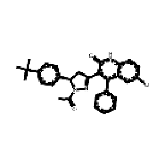 CC(=O)N1N=C(c2c(-c3ccccc3)c3cc(Cl)ccc3[nH]c2=O)CC1c1ccc(C(C)(C)C)cc1